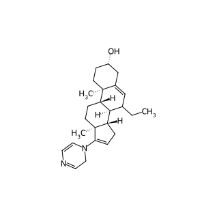 CCC1C=C2C[C@@H](O)CC[C@]2(C)[C@H]2CC[C@]3(C)C(N4C=CN=CC4)=CC[C@H]3[C@H]12